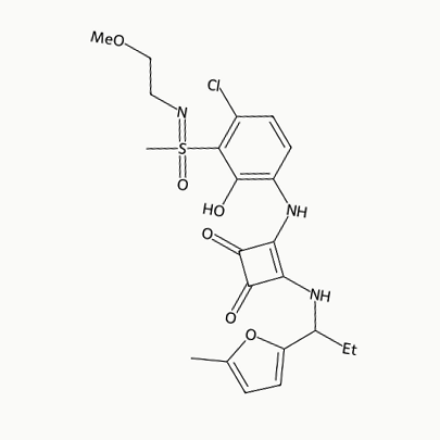 CCC(Nc1c(Nc2ccc(Cl)c(S(C)(=O)=NCCOC)c2O)c(=O)c1=O)c1ccc(C)o1